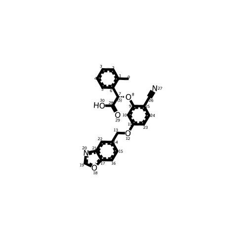 Cc1ccccc1[C@H](Oc1cc(OCc2ccc3ocnc3c2)ccc1C#N)C(=O)O